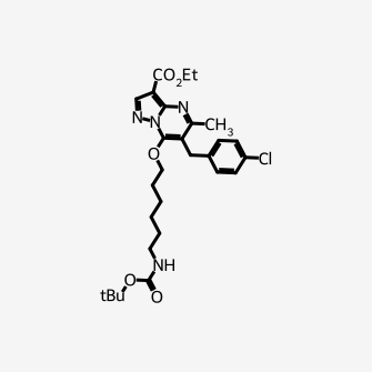 CCOC(=O)c1cnn2c(OCCCCCCNC(=O)OC(C)(C)C)c(Cc3ccc(Cl)cc3)c(C)nc12